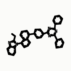 CCc1nc2ccccc2n1-c1cccc2c(-c3ccc(-c4nc(-c5ccccc5)nc(-c5ccccc5)n4)cc3)cccc12